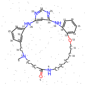 CN1CCC(=O)NCCCCCOc2ccccc2Nc2cc(ncn2)Nc2cccc(c2)C1